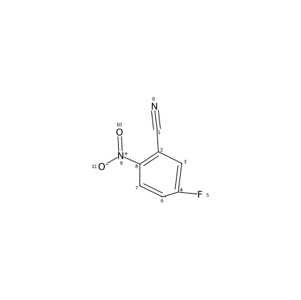 N#Cc1cc(F)[c]cc1[N+](=O)[O-]